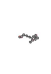 c1ccc(-c2cccc(N(c3ccc(-c4ccc(-c5cccc(-c6ccc7ccccc7c6)c5)cc4)cc3)c3ccc4c(c3)C(c3ccccc3)(c3ccccc3)c3ccccc3-4)c2)cc1